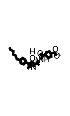 CCCCCCc1ccc(-c2c(O)c(C(C)=NNC(=O)c3ccc(C(=O)OC)cc3)nn2C)cc1